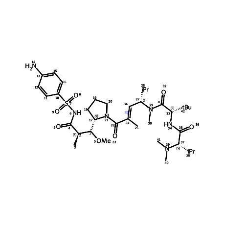 COC([C@@H](C)C(=O)NS(=O)(=O)c1ccc(N)cc1)[C@@H]1CCCN1C(=O)/C(C)=C/[C@H](C(C)C)N(C)C(=O)[C@@H](NC(=O)[C@H](C(C)C)N(C)C)C(C)(C)C